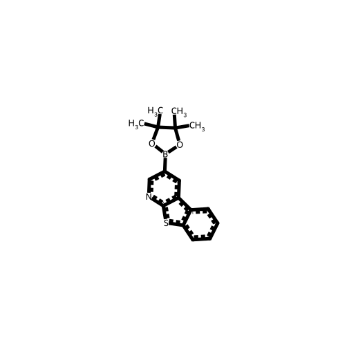 CC1(C)OB(c2cnc3sc4ccccc4c3c2)OC1(C)C